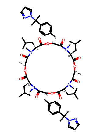 CC(C)C[C@H]1C(=O)O[C@H](Cc2ccc(C(C)(C)n3cccn3)cc2)C(=O)N(C)[C@@H](CC(C)C)C(=O)O[C@H](C)C(=O)N(C)[C@@H](CC(C)C)C(=O)O[C@H](Cc2ccc(C(C)(C)n3cccn3)cc2)C(=O)N(C)[C@@H](CC(C)C)C(=O)O[C@H](C)C(=O)N1C